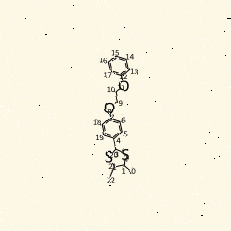 CC1SC(c2ccc(OCCOc3ccccc3)cc2)SC1C